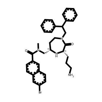 CN(C[C@@H]1CCN(CC(c2ccccc2)c2ccccc2)C(=O)[C@H](CCCN)N1)C(=O)c1ccc2cc(Br)ccc2c1